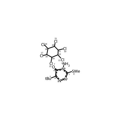 CSc1nnc(C(C)(C)C)c(=O)n1N.ClC1C(Cl)C(Cl)C(Cl)C(Cl)C1Cl